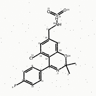 CC1(C)N=C(c2ccc(F)cc2)c2c(Cl)cc(CN[SH](=O)=O)cc2O1